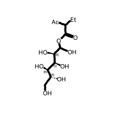 CCC(C(C)=O)C(=O)OC(O)[C@H](O)[C@@H](O)[C@H](O)[C@H](O)CO